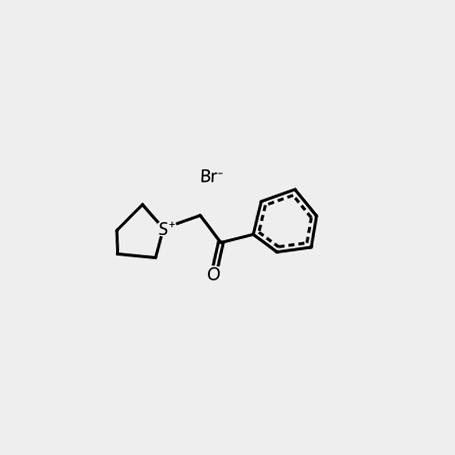 O=C(C[S+]1CCCC1)c1ccccc1.[Br-]